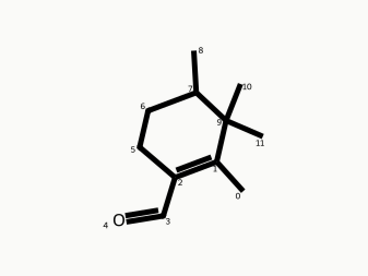 CC1=C(C=O)CCC(C)C1(C)C